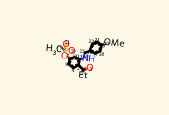 CCC(=O)c1ccc(OS(C)(=O)=O)cc1NCc1ccc(OC)cc1